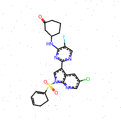 O=C1CCCC(Nc2nc(-c3cn(S(=O)(=O)C4=CC=CCC4)c4ncc(Cl)cc34)ncc2F)C1